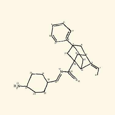 C/C=C1/C2CC3(c4ccccc4)CC1C(C(=S)/N=C/C1CCC(N)CC1)(C2)C3